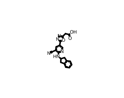 N#Cc1cc(-c2nnc(CC(=O)O)o2)cnc1NC1Cc2ccccc2C1